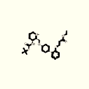 CCOC(=O)CCOc1ccccc1[C@H]1CC[C@@H](OC[C@@H]2NCCC[C@@H]2NC(=O)OC(C)(C)C)CC1